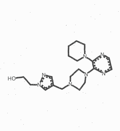 OCCn1cc(CN2CCN(c3nccnc3N3CCCCC3)CC2)cn1